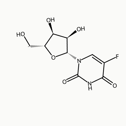 O=c1[nH]c(=O)n([C@@H]2O[C@H]([CH]O)[C@@H](O)[C@H]2O)cc1F